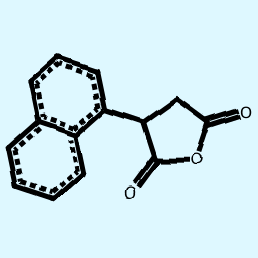 O=C1CC(c2cccc3ccccc23)C(=O)O1